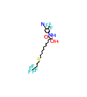 CC(O)(CCCCCCCCCCSCCCC(F)(F)C(F)(F)F)C(=O)Nc1ccc(C#N)c(C(F)(F)F)c1